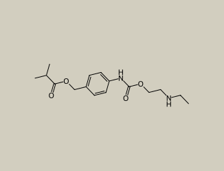 CCNCCOC(=O)Nc1ccc(COC(=O)C(C)C)cc1